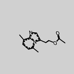 CC(=O)OCCc1cnc2c(C)ccc(C)n12